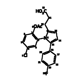 CC(=O)Oc1ccc(Cl)cc1-n1c(CCC(=O)O)ccc1-c1ccc(F)cc1